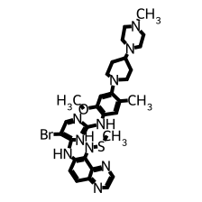 COc1cc(N2CCC(N3CCN(C)CC3)CC2)c(C)cc1Nc1ncc(Br)c(Nc2ccc3nccnc3c2NSC)n1